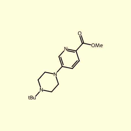 COC(=O)c1ccc(N2CCN(C(C)(C)C)CC2)cn1